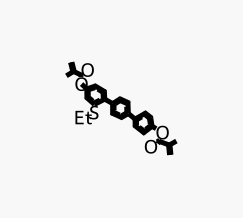 C=C(C)C(=O)Oc1ccc(-c2ccc(-c3ccc(OC(=O)C(=C)C)cc3SCC)cc2)cc1